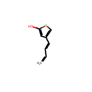 C=C/C=C/c1csc(O)c1